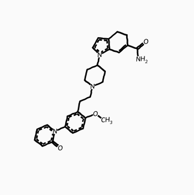 COc1ccc(-n2ccccc2=O)cc1CCN1CCC(n2ccc3c2C=C(C(N)=O)CC3)CC1